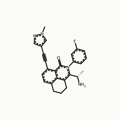 C[C@H](N)c1c2c3c(ccc(C#Cc4cnn(C)c4)c3c(=O)n1-c1cccc(F)c1)CCC2